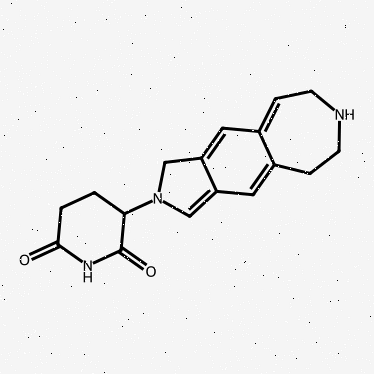 O=C1CCC(N2C=c3cc4c(cc3C2)=CCNCC4)C(=O)N1